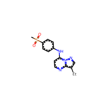 CCc1cnn2c(Nc3ccc(S(C)(=O)=O)cc3)ccnc12